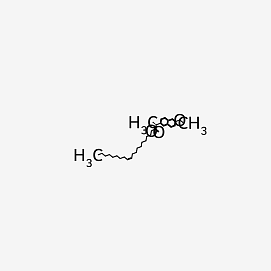 CCCCCCCC/C=C\CCCCCCCCOC(=O)[C@@H](C)c1ccc2cc(OC)ccc2c1